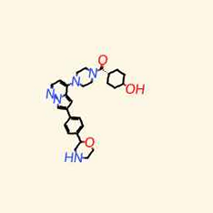 O=C([C@H]1CC[C@H](O)CC1)N1CCN(c2ccnn3cc(-c4ccc(C5CNCCO5)cc4)cc23)CC1